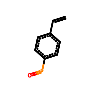 C=Cc1ccc(P=O)cc1